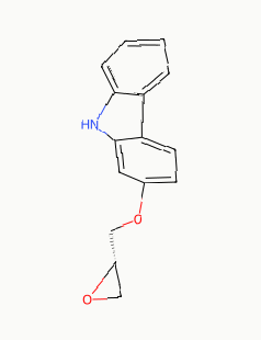 c1ccc2c(c1)[nH]c1cc(OC[C@@H]3CO3)ccc12